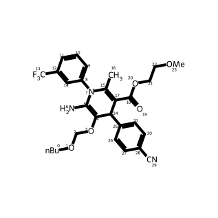 CCCCOCOC1=C(N)N(c2cccc(C(F)(F)F)c2)C(C)=C(C(=O)OCCOC)C1c1ccc(C#N)cc1